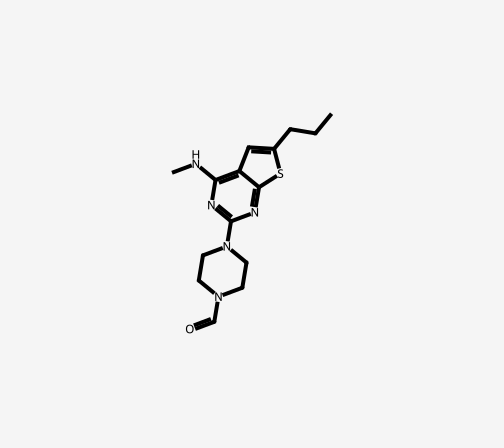 CCCc1cc2c(NC)nc(N3CCN(C=O)CC3)nc2s1